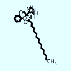 CCCCCCCCCCCCCC=CC(=O)NC1(c2nnn[nH]2)COc2ccccc2O1